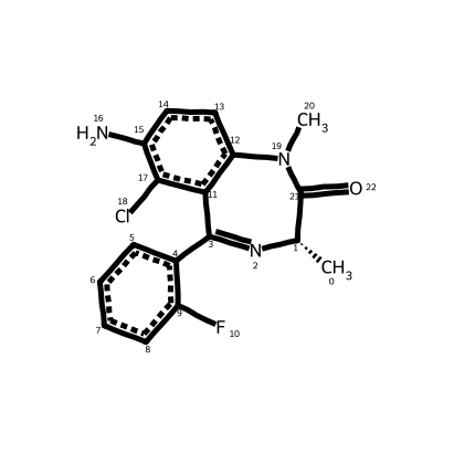 C[C@@H]1N=C(c2ccccc2F)c2c(ccc(N)c2Cl)N(C)C1=O